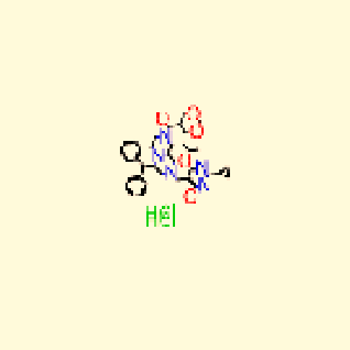 COc1nc(C2CC2)nc(OC(C)C)c1CN1CC2CN(C(=O)C3COCOC3)CCN2C(C(c2ccccc2)c2ccccc2)C1.Cl.Cl